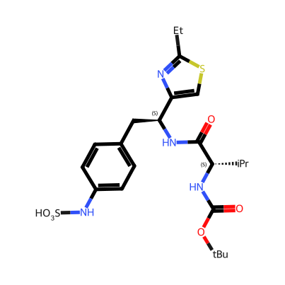 CCc1nc([C@H](Cc2ccc(NS(=O)(=O)O)cc2)NC(=O)[C@@H](NC(=O)OC(C)(C)C)C(C)C)cs1